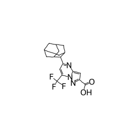 O=C(O)c1cc2nc(C3C4CC5CC(C4)CC3C5)cc(C(F)(F)F)n2n1